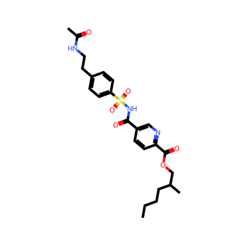 CCCCC(C)COC(=O)c1ccc(C(=O)NS(=O)(=O)c2ccc(CCNC(C)=O)cc2)cn1